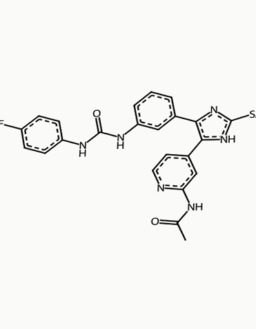 CSc1nc(-c2cccc(NC(=O)Nc3ccc(F)cc3)c2)c(-c2ccnc(NC(C)=O)c2)[nH]1